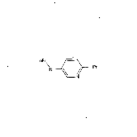 CCCNc1ccc(C(C)C)nc1